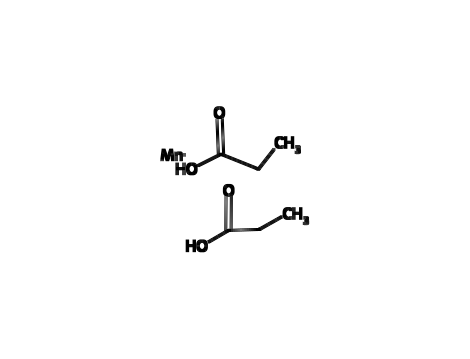 CCC(=O)O.CCC(=O)O.[Mn]